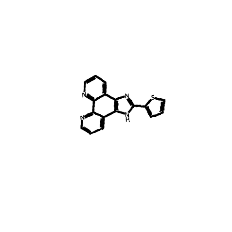 c1csc(-c2nc3c4cccnc4c4ncccc4c3[nH]2)c1